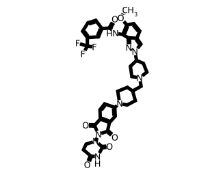 COc1ccc2cn(C3CCN(CC4CCN(c5ccc6c(c5)C(=O)N(N5CCC(=O)NC5=O)C6=O)CC4)CC3)nc2c1NC(=O)c1cccc(C(F)(F)F)c1